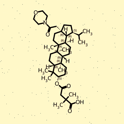 CC(C)[C@@H]1CC[C@]2(CC(=O)N3CCOCC3)CC[C@]3(C)[C@H](CC[C@@H]4[C@@]5(C)CC[C@H](OC(=O)CC(C)(C)C(=O)O)C(C)(C)[C@@H]5CC[C@]43C)[C@@H]12